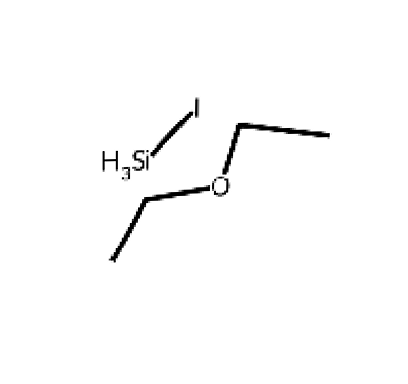 CCOCC.[SiH3]I